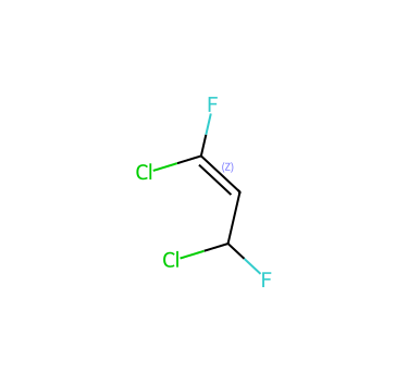 F/C(Cl)=C/C(F)Cl